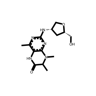 Cc1nc(N[C@@H]2CO[C@H](CO)C2)nc2c1NC(=O)C(C)N2C